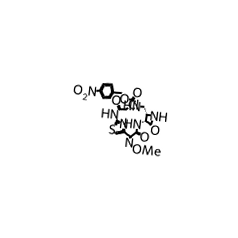 CO/N=C(\C(=O)N[C@H]1C(=O)N[C@H]1CNC(=O)OCc1ccc([N+](=O)[O-])cc1)c1csc(NC(=O)CCl)n1